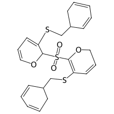 O=S(=O)(C1=C(SCC2C=CC=CC2)C=CCO1)C1OC=CC=C1SCC1C=CC=CC1